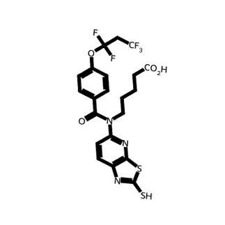 O=C(O)CCCCN(C(=O)c1ccc(OC(F)(F)CC(F)(F)F)cc1)c1ccc2nc(S)sc2n1